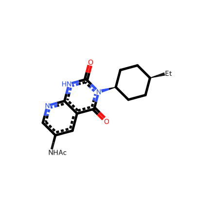 CC[C@H]1CC[C@@H](n2c(=O)[nH]c3ncc(NC(C)=O)cc3c2=O)CC1